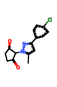 Cc1cc(-c2ccc(Cl)cc2)nn1C1C(=O)CCC1=O